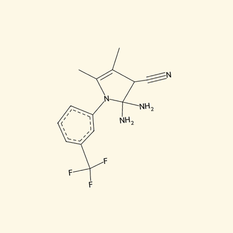 CC1=C(C)N(c2cccc(C(F)(F)F)c2)C(N)(N)C1C#N